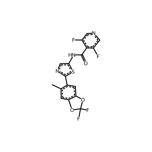 Cc1cc2c(cc1-c1ncc(NC(=O)c3c(F)cncc3F)s1)OC(F)(F)O2